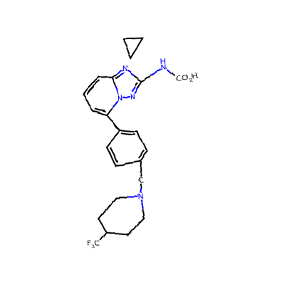 C1CC1.O=C(O)Nc1nc2cccc(-c3ccc(CN4CCC(C(F)(F)F)CC4)cc3)n2n1